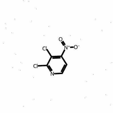 O=[N+]([O-])c1ccnc(Cl)c1Cl